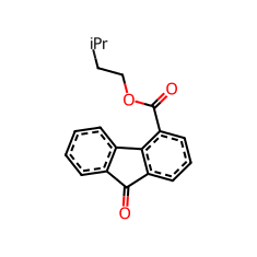 CC(C)CCOC(=O)c1cccc2c1-c1ccccc1C2=O